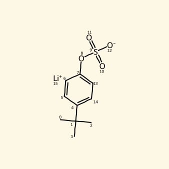 CC(C)(C)c1ccc(OS(=O)(=O)[O-])cc1.[Li+]